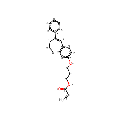 C=CC(=O)OCCCOc1ccc2c(c1)CCCC(c1ccccc1)=C2